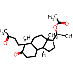 CC(=O)CC[C@]1(C)C(=O)CCC2C1CCC1(C)[C@@H]([C@H](C)OC(C)=O)CC[C@@H]21